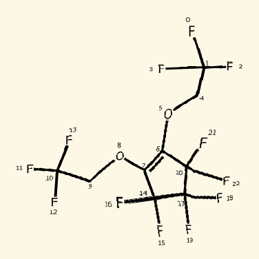 FC(F)(F)COC1=C(OCC(F)(F)F)C(F)(F)C(F)(F)C1(F)F